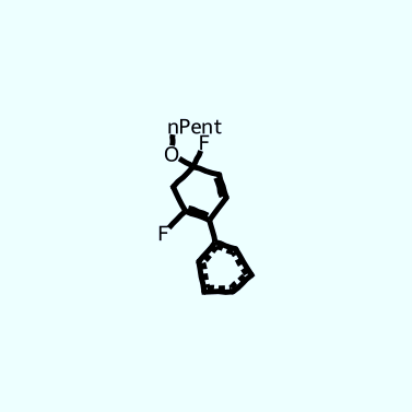 CCCCCOC1(F)C=CC(c2ccccc2)=C(F)C1